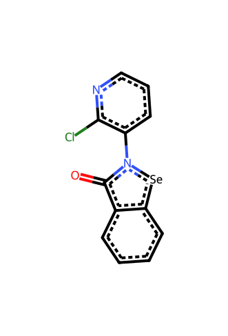 O=c1c2ccccc2[se]n1-c1cccnc1Cl